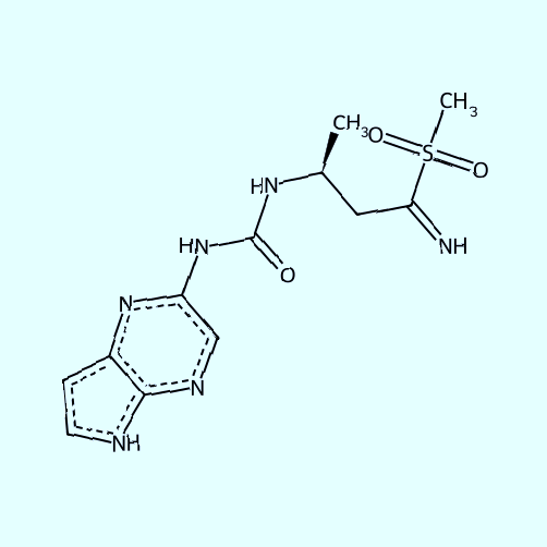 C[C@@H](CC(=N)S(C)(=O)=O)NC(=O)Nc1cnc2[nH]ccc2n1